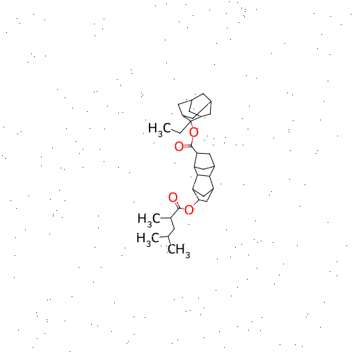 CCC1(OC(=O)C2CC3CC2C2C4CC(CC4OC(=O)C(C)CC(C)C)C32)C2CC3CC(C2)CC1C3